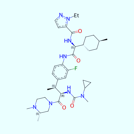 CCn1nccc1C(=O)N[C@H](C(=O)Nc1ccc([C@H](C)[C@@H](NC(=O)N(C)C2CC2)C(=O)N2CCN(C)[C@@H](C)C2)cc1F)[C@H]1CC[C@H](C)CC1